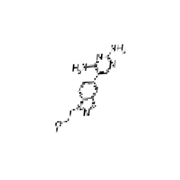 COCCn1ncc2cc(-c3cnc(N)nc3N)ccc21